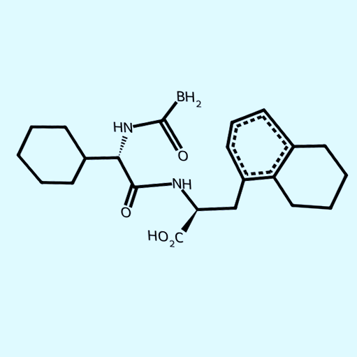 BC(=O)N[C@H](C(=O)N[C@@H](Cc1cccc2c1CCCC2)C(=O)O)C1CCCCC1